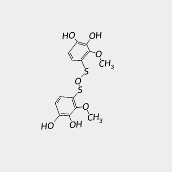 COc1c(SOSc2ccc(O)c(O)c2OC)ccc(O)c1O